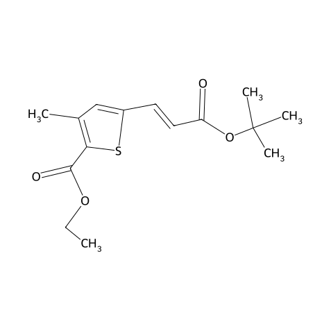 CCOC(=O)c1sc(C=CC(=O)OC(C)(C)C)cc1C